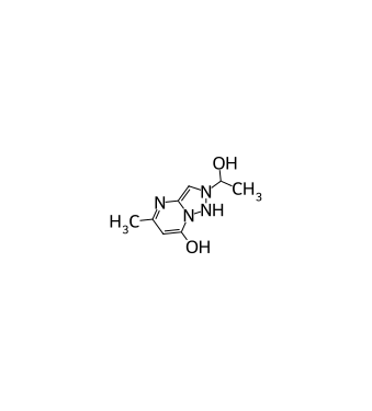 CC1=NC2=CN(C(C)O)NN2C(O)=C1